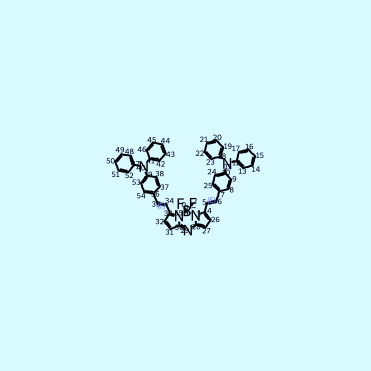 F[B-]1(F)n2c(/C=C/c3ccc(N(c4ccccc4)c4ccccc4)cc3)ccc2N=C2C=CC(/C=C/c3ccc(N(c4ccccc4)c4ccccc4)cc3)=[N+]21